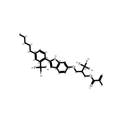 C=C(C)C(=O)OCC(COc1ccc2cc(-c3ccc(CCCCC)cc3C(F)(F)F)sc2c1)C(F)(F)F